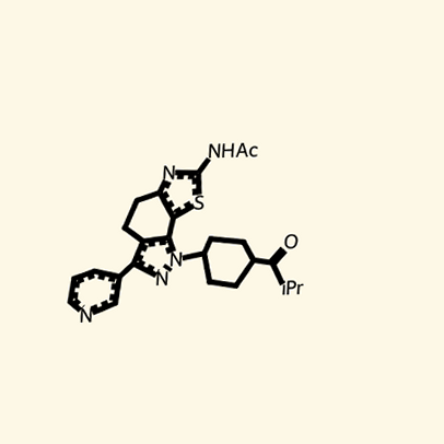 CC(=O)Nc1nc2c(s1)-c1c(c(-c3cccnc3)nn1C1CCC(C(=O)C(C)C)CC1)CC2